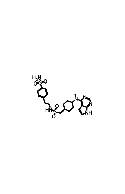 CN(c1ncnc2[nH]ccc12)C1CCC(CS(=O)(=O)NCCc2ccc(S(N)(=O)=O)cc2)CC1